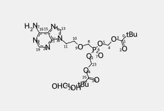 CC(C)(C)C(=O)OCOP(=O)(COCCn1cnc2c(N)ncnc21)OCOC(=O)C(C)(C)C.O=CO